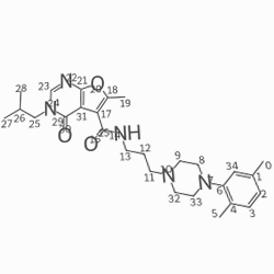 Cc1ccc(C)c(N2CCN(CCCNC(=O)c3c(C)oc4ncn(CC(C)C)c(=O)c34)CC2)c1